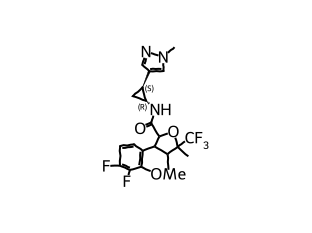 COc1c(C2C(C(=O)N[C@@H]3C[C@H]3c3cnn(C)c3)OC(C)(C(F)(F)F)C2C)ccc(F)c1F